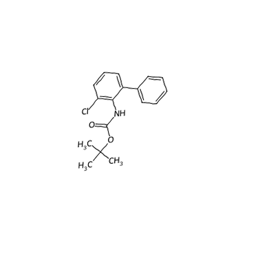 CC(C)(C)OC(=O)Nc1c(Cl)cccc1-c1ccccc1